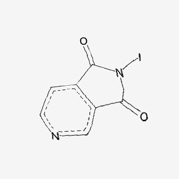 O=C1c2ccncc2C(=O)N1I